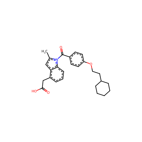 Cc1cc2c(CC(=O)O)cccc2n1C(=O)c1ccc(OCCC2CCCCC2)cc1